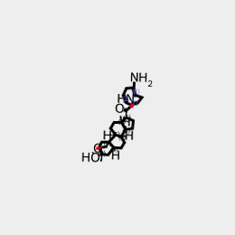 COC[C@]12CC[C@@](C)(O)C[C@@H]1CC[C@H]1[C@@H]3CC[C@H](C(=O)CN/C4=C(/N)C/C=C\C=C/C4)[C@@]3(C)CC[C@@H]12